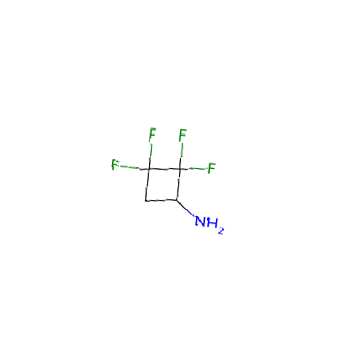 NC1CC(F)(F)C1(F)F